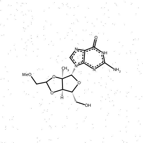 COCC1O[C@@H]2[C@@H](CO)O[C@@H](n3cnc4c(=O)[nH]c(N)nc43)[C@]2(C)O1